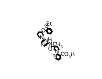 CCOc1ccccc1O[C@@H]1CCCN(c2cncc(NC(=O)C3(C)CCN(c4ncccc4C(=O)O)C3)n2)C1